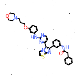 O=C(Cc1ccccc1)Nc1cccc(-c2nc3sccn3c2-c2ccnc(Nc3cccc(OCCCN4CCOCC4)c3)n2)c1